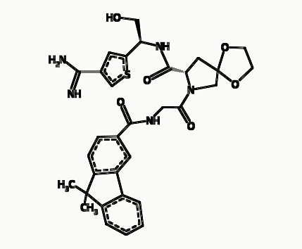 CC1(C)c2ccccc2-c2cc(C(=O)NCC(=O)N3CC4(C[C@H]3C(=O)N[C@H](CO)c3cc(C(=N)N)cs3)OCCO4)ccc21